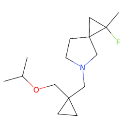 CC(C)OCC1(CN2CCC3(C2)CC3(C)F)CC1